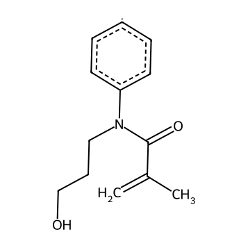 C=C(C)C(=O)N(CCCO)c1cc[c]cc1